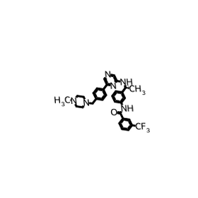 C[C@H](Nc1cncc(-c2ccc(CN3CCN(C)CC3)cc2)n1)c1cccc(NC(=O)c2cccc(C(F)(F)F)c2)c1